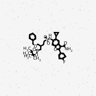 CC1(C)OB(CC(CCS(=O)(=O)Nc2cc3oc(-c4ccc(F)cc4)c(C(N)=O)c3cc2C2CC2)COCc2ccccc2)OC1(C)C